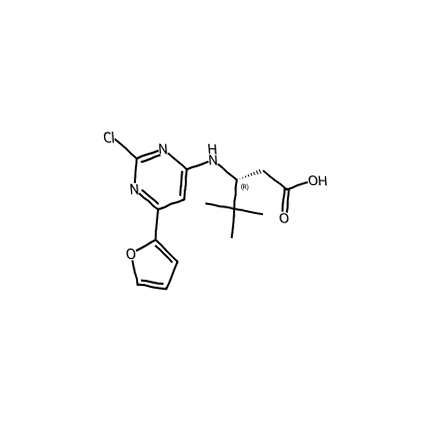 CC(C)(C)[C@@H](CC(=O)O)Nc1cc(-c2ccco2)nc(Cl)n1